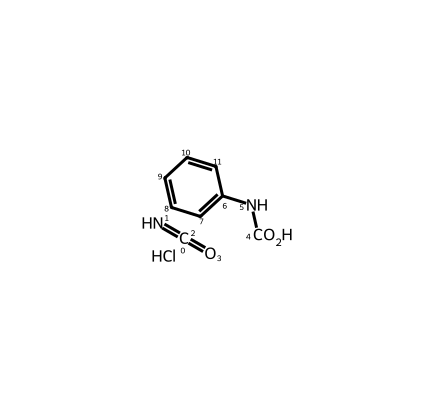 Cl.N=C=O.O=C(O)Nc1ccccc1